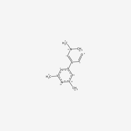 Cc1cc(/C(C=O)=C/N(C)C)cc(C)n1